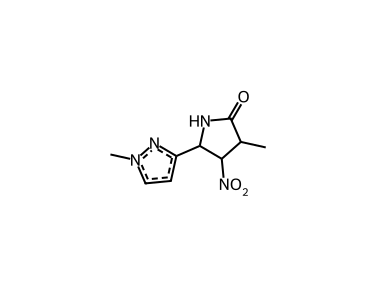 CC1C(=O)NC(c2ccn(C)n2)C1[N+](=O)[O-]